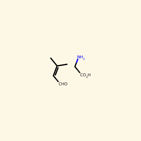 CC(C)=CC=O.NCC(=O)O